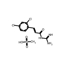 CS(=O)(=O)O.N=C(N)NC(=O)C=Cc1ccc(Cl)cc1Cl